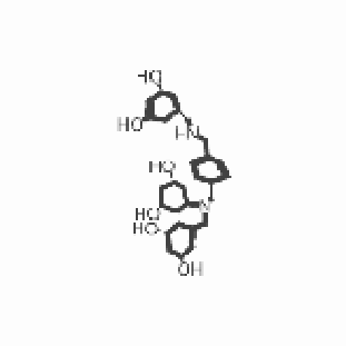 OC1=C[C@@H](O)C[C@@H](CNCC2=CC[C@H](CN(CC3C[C@@H](O)C[C@@H](O)C3)C3C[C@@H](O)C[C@@H](O)C3)C=C2)C1